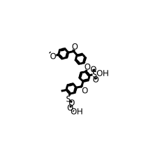 COc1ccc(C(=O)c2ccc(Oc3ccc(C(=O)c4ccc(C)c(SOOO)c4)cc3S(=O)(=O)O)cc2)cc1